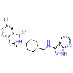 Cc1ncc(Cl)cc1C(=O)N[C@H]1CC[C@H](CNc2n[nH]c3ncccc23)CC1